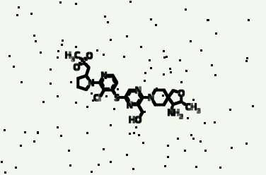 C[C@@H]1OCC2(CCN(c3ncc(Sc4ccnc(N5CCCC5CS(C)(=O)=O)c4Cl)nc3CO)CC2)[C@@H]1N